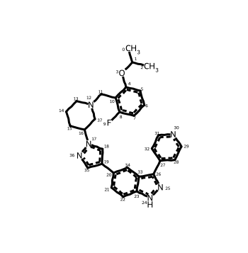 CC(C)Oc1cccc(F)c1CN1CCCC(n2cc(-c3ccc4[nH]nc(-c5ccncc5)c4c3)cn2)C1